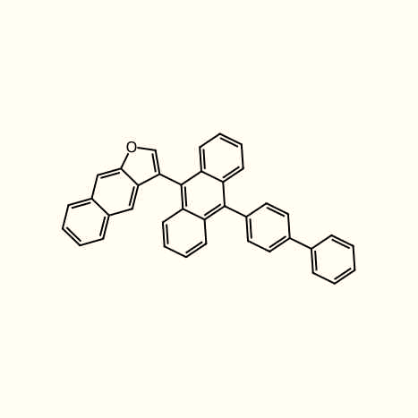 c1ccc(-c2ccc(-c3c4ccccc4c(-c4coc5cc6ccccc6cc45)c4ccccc34)cc2)cc1